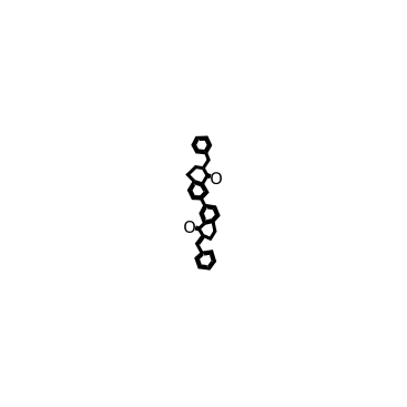 O=C1/C(=C/c2ccccc2)CCc2ccc(-c3ccc4c(c3)C(=O)C(Cc3ccccc3)CC4)cc21